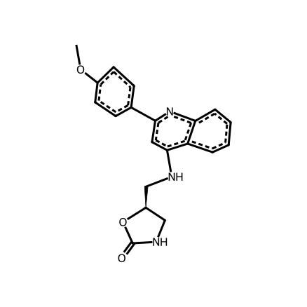 COc1ccc(-c2cc(NC[C@H]3CNC(=O)O3)c3ccccc3n2)cc1